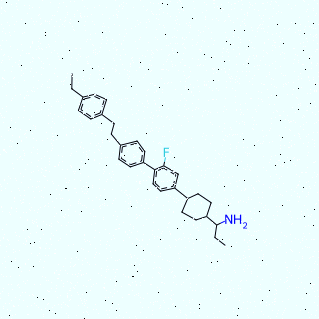 CCc1ccc(CCc2ccc(-c3ccc(C4CCC(C(N)CC)CC4)cc3F)cc2)cc1